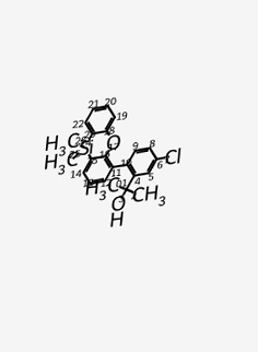 CC(C)(O)c1cc(Cl)ccc1-c1cccc2c1Oc1ccccc1[Si]2(C)C